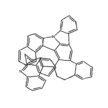 C1=C(/C2CCc3ccccc3-c3cc4c5ccccc5n5c6ccc7ccccc7c6c(c32)c45)c2ccccc2/N=C(c2ccccc2)/C=C/1